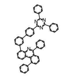 c1ccc(-c2nc(-c3ccccc3)nc(-c3ccc(-c4cccc(-c5cccc6c5nc(-c5ccccc5)c5cccc(-c7ccccc7)c56)c4)cc3)n2)cc1